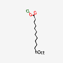 CCCCCCCCCCCCCCCCCCC(=O)OCl